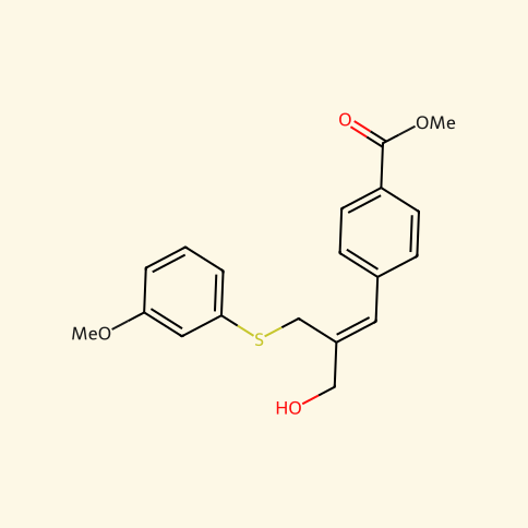 COC(=O)c1ccc(C=C(CO)CSc2cccc(OC)c2)cc1